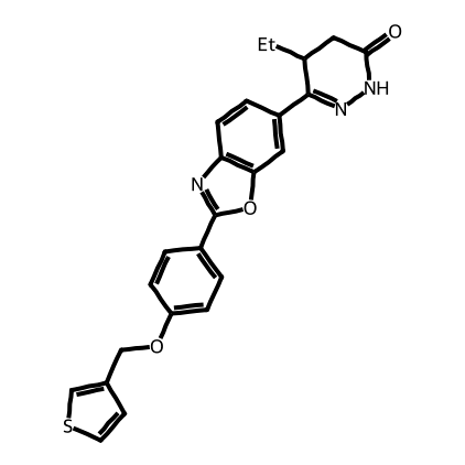 CCC1CC(=O)NN=C1c1ccc2nc(-c3ccc(OCc4ccsc4)cc3)oc2c1